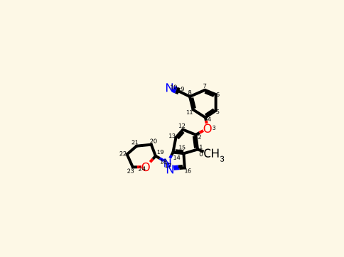 Cc1c(Oc2cccc(C#N)c2)ccc2c1cnn2C1CCCCO1